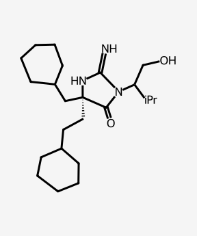 CC(C)C(CO)N1C(=N)N[C@](CCC2CCCCC2)(CC2CCCCC2)C1=O